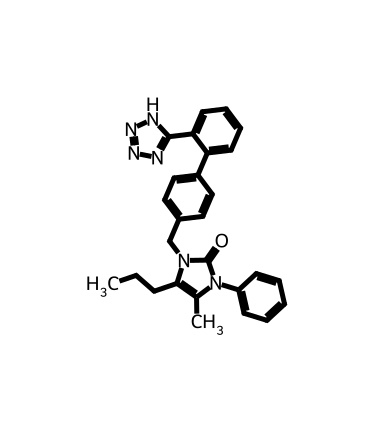 CCCc1c(C)n(-c2ccccc2)c(=O)n1Cc1ccc(-c2ccccc2-c2nnn[nH]2)cc1